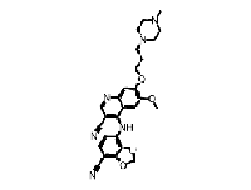 COc1cc2c(Nc3ccc(C#N)c4c3OCO4)c(C#N)cnc2cc1OCCCN1CCN(C)CC1